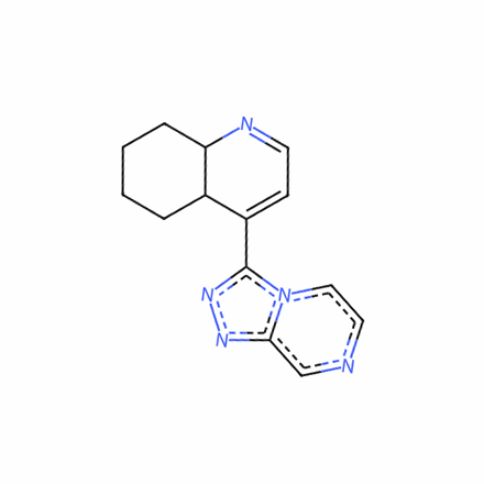 C1=NC2CCCCC2C(c2nnc3cnccn23)=C1